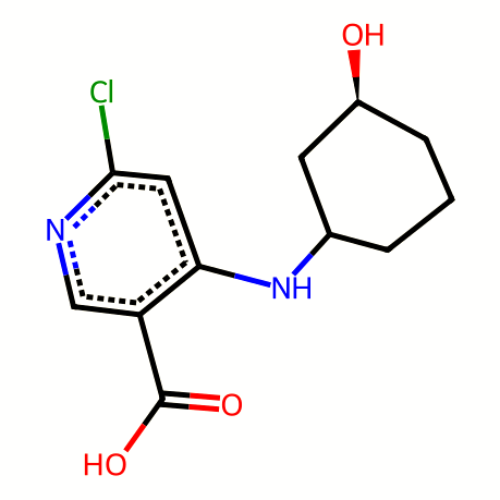 O=C(O)c1cnc(Cl)cc1NC1CCC[C@H](O)C1